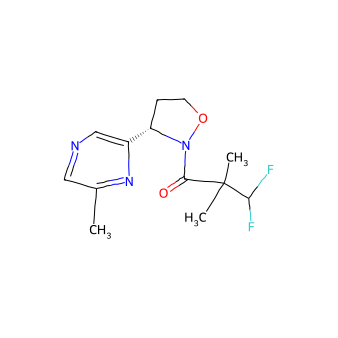 Cc1cncc([C@@H]2CCON2C(=O)C(C)(C)C(F)F)n1